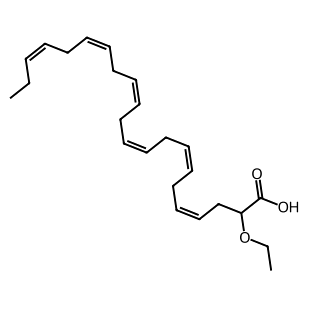 CC/C=C\C/C=C\C/C=C\C/C=C\C/C=C\C/C=C\CC(OCC)C(=O)O